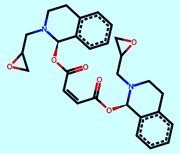 O=C(/C=C\C(=O)O[C@@H]1c2ccccc2CCN1CC1CO1)O[C@@H]1c2ccccc2CCN1CC1CO1